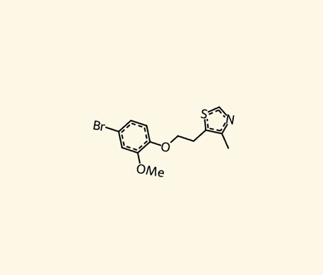 COc1cc(Br)ccc1OCCc1scnc1C